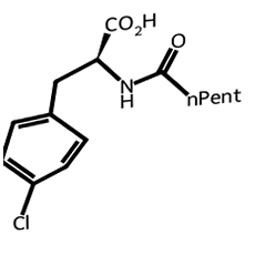 CCCCCC(=O)N[C@@H](Cc1ccc(Cl)cc1)C(=O)O